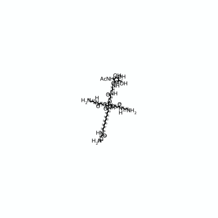 CC(=O)NC1C(O)[C@@H](O)C(CO)O[C@H]1ONCCCNC(=O)CCOCC(COCCC(=O)NCCCN)(COCCC(=O)NCCCN)NC(=O)CCCCCCCCCCCNC(=O)CON